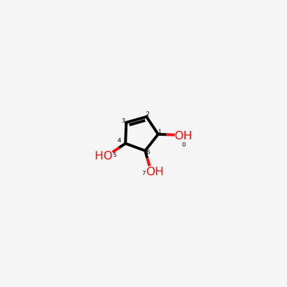 OC1C=CC(O)C1O